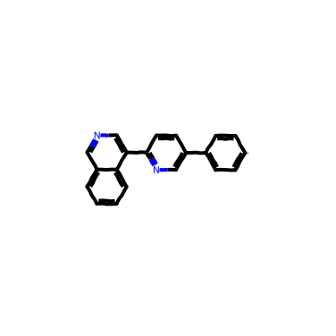 [c]1ccc(-c2ccc(-c3cncc4ccccc34)nc2)cc1